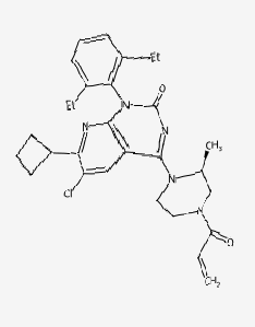 C=CC(=O)N1CCN(c2nc(=O)n(-c3c(CC)cccc3CC)c3nc(C4CCC4)c(Cl)cc23)[C@@H](C)C1